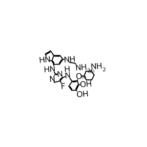 NCCNc1cc(Nc2ncc(F)c(Nc3ccc(O)c(O)c3O[C@@H]3CCC[C@H](N)C3)n2)c2[nH]ccc2c1